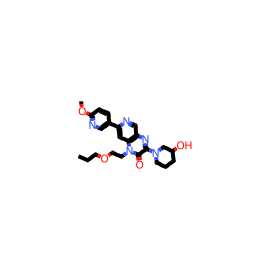 CCCOCCn1c(=O)c(N2CCCC(O)C2)nc2cnc(-c3ccc(OC)nc3)cc21